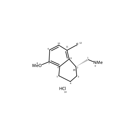 CNC[C@@H]1CCCc2c(OC)ccc(F)c21.Cl